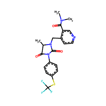 CC1C(=O)N(c2ccc(SC(F)(F)F)cc2)C(=O)N1Cc1ccncc1C(=O)N(C)C